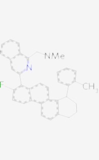 CNCc1nc(-c2c(F)ccc3c2ccc2c4c(ccc23)CCCC4c2ccccc2C)cc2ccccc12